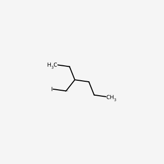 CCCC([CH]I)CC